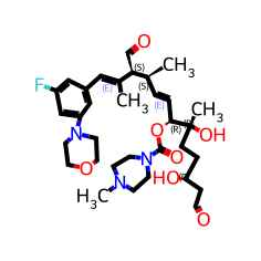 C/C(=C\c1cc(F)cc(N2CCOCC2)c1)[C@@H](C=O)[C@@H](C)/C=C/[C@@H](OC(=O)N1CCN(C)CC1)[C@](C)(O)CC[C@@H](O)CC=O